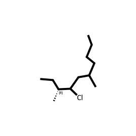 CCCCC(C)CC(Cl)[C@H](C)CC